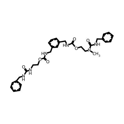 CN(CCOC(=O)NCc1cccc(CNC(=O)OCCNC(=O)NCc2ccccc2)c1)C(=O)NCc1ccccc1